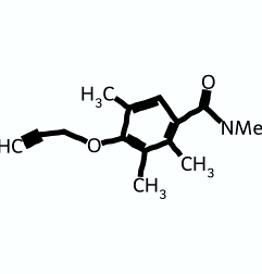 C#CCOc1c(C)cc(C(=O)NC)c(C)c1C